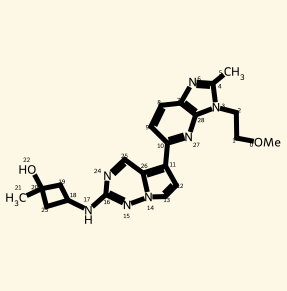 COCCn1c(C)nc2ccc(-c3ccn4nc(NC5CC(C)(O)C5)ncc34)nc21